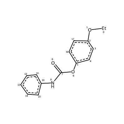 CCOc1ccc(OC(=O)Nc2ccccc2)cc1